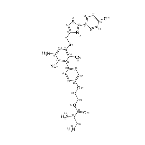 N#Cc1c(N)nc(SCc2csc(-c3ccc(Cl)cc3)n2)c(C#N)c1-c1ccc(OCCOC(=O)[C@@H](N)CN)cc1